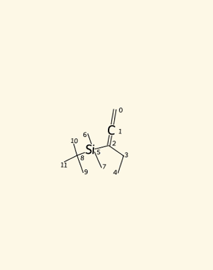 C=C=C(CC)[Si](C)(C)C(C)(C)C